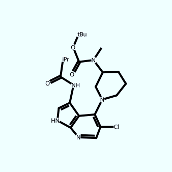 CC(C)C(=O)Nc1c[nH]c2ncc(Cl)c(N3CCCC(N(C)C(=O)OC(C)(C)C)C3)c12